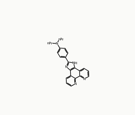 CCCN(CCC)c1ccc(-c2nc3c4cccnc4c4ncccc4c3[nH]2)cc1